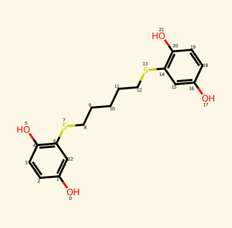 Oc1ccc(O)c(SCCCCCSc2cc(O)ccc2O)c1